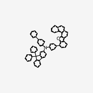 c1ccc(-c2ccc(N(c3ccc(-c4cccc5c4oc4c5ccc5ccc6ccccc6c54)cc3)c3ccc4c(c3)C(c3ccccc3)(c3ccccc3)c3ccccc3-4)cc2)cc1